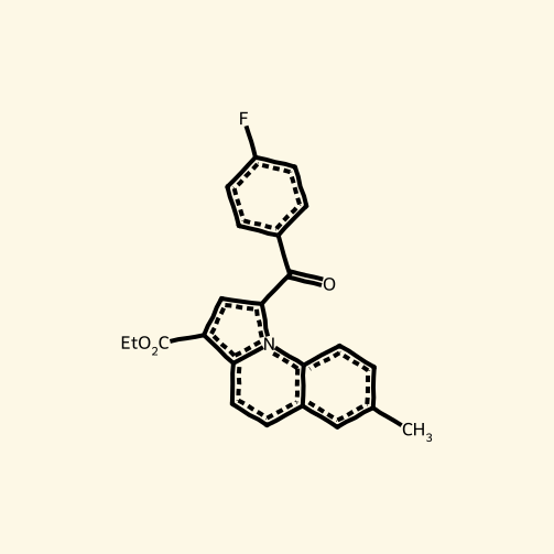 CCOC(=O)c1cc(C(=O)c2ccc(F)cc2)n2c1ccc1cc(C)ccc12